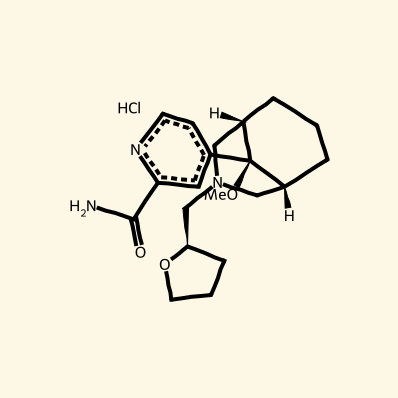 CO[C@]1(c2ccnc(C(N)=O)c2)[C@@H]2CCC[C@H]1CN(C[C@H]1CCCO1)C2.Cl